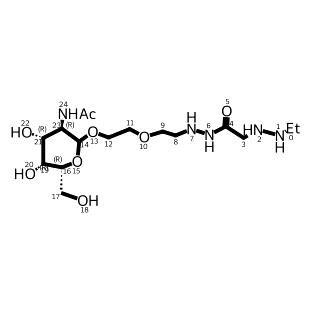 CCNNCC(=O)NNCCOCCOC1O[C@H](CO)[C@H](O)[C@H](O)[C@H]1NC(C)=O